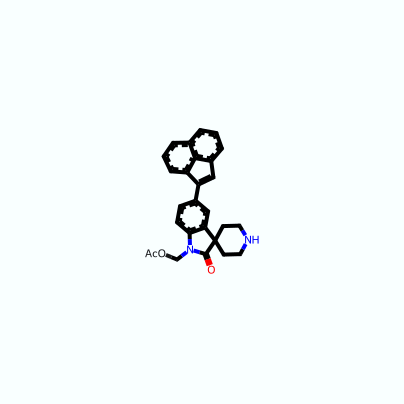 CC(=O)OCN1C(=O)C2(CCNCC2)c2cc(C3=Cc4cccc5cccc3c45)ccc21